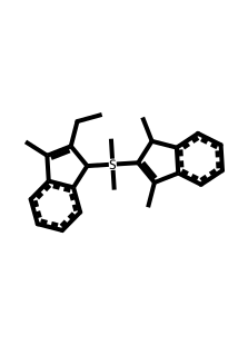 CCC1=C(C)c2ccccc2C1S(C)(C)C1=C(C)c2ccccc2C1C